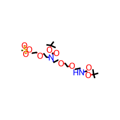 CC(C)(C)OC(=O)NCCOCCOCCN(CCOCCOS(C)(=O)=O)C(=O)OC(C)(C)C